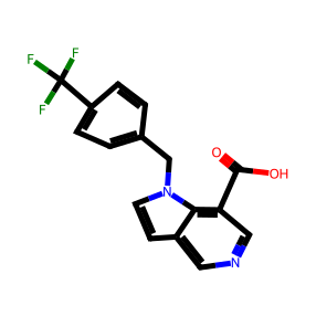 O=C(O)c1cncc2ccn(Cc3ccc(C(F)(F)F)cc3)c12